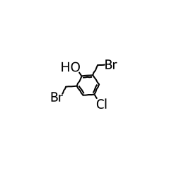 Oc1c(CBr)cc(Cl)cc1CBr